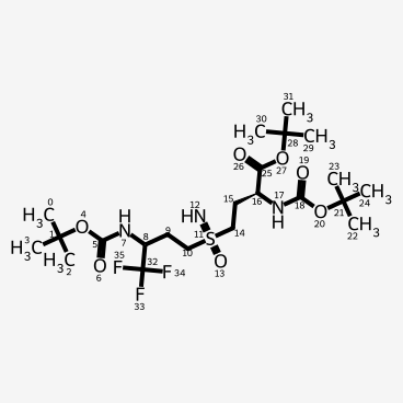 CC(C)(C)OC(=O)NC(CCS(=N)(=O)CC[C@H](NC(=O)OC(C)(C)C)C(=O)OC(C)(C)C)C(F)(F)F